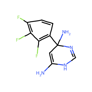 NC1=CC(N)(c2ccc(F)c(F)c2F)N=CN1